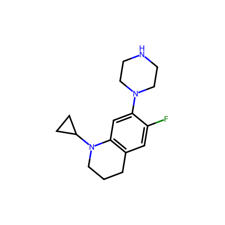 Fc1cc2c(cc1N1CCNCC1)N(C1CC1)CCC2